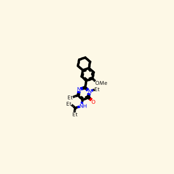 CCc1nc(-c2cc3c(cc2OC)CCCC3)n(CC)c(=O)c1NC(CC)CC